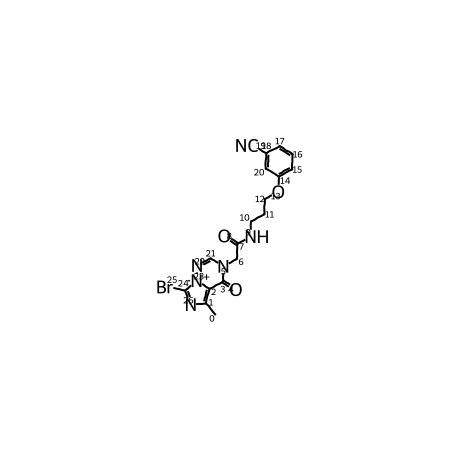 CC1=C2C(=O)N(CC(=O)NCCCOc3cccc(C#N)c3)C=N[N+]2C(Br)=N1